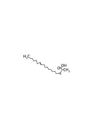 CCCCCCC=CCCCCCCCCC1CC1C(C)C(=O)O